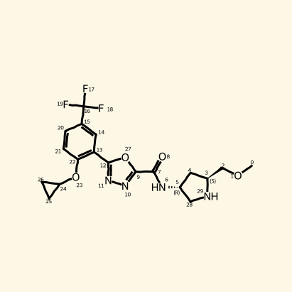 COC[C@@H]1C[C@@H](NC(=O)c2nnc(-c3cc(C(F)(F)F)ccc3OC3CC3)o2)CN1